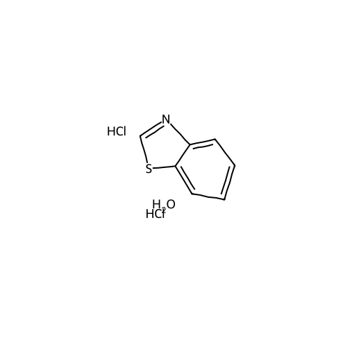 Cl.Cl.O.c1ccc2scnc2c1